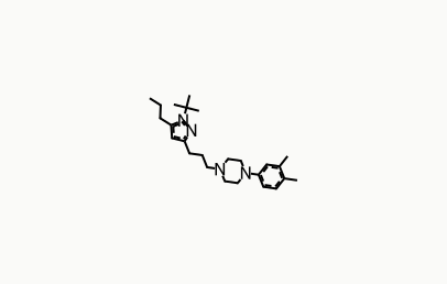 CCCc1cc(CCCN2CCN(c3ccc(C)c(C)c3)CC2)nn1C(C)(C)C